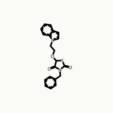 O=C1SC(OCCn2ccc3ccccc32)C(=O)N1Cc1ccccc1